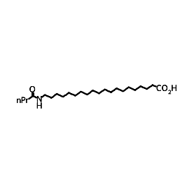 CCCC(=O)NCCCCCCCCCCCCCCCCCCCC(=O)O